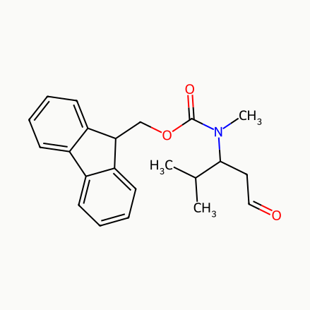 CC(C)C(CC=O)N(C)C(=O)OCC1c2ccccc2-c2ccccc21